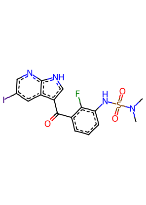 CN(C)S(=O)(=O)Nc1cccc(C(=O)c2c[nH]c3ncc(I)cc23)c1F